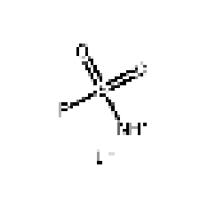 [Li+].[NH-]S(=O)(=O)F